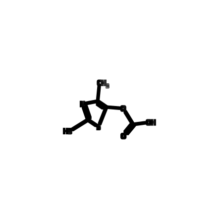 Cc1nc(S)sc1OC(=O)O